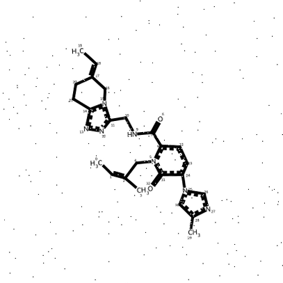 C/C=C(/C)Cn1c(C(=O)NCc2nnc3n2C/C(=C/C)CC3)ccc(-n2cnc(C)c2)c1=O